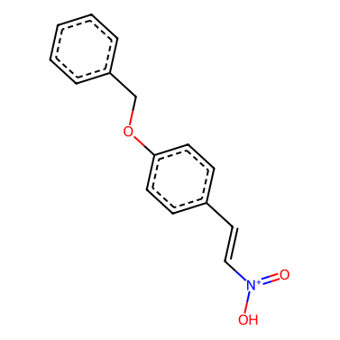 O=[N+](O)/C=C/c1ccc(OCc2ccccc2)cc1